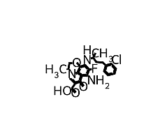 CC(CCc1ccccc1Cl)Nc1c(F)c(N)c2c(=O)c(C(=O)O)cn3c2c1OC[C@@H]3C